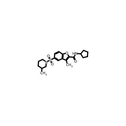 Cc1c(C(=O)NC2CCCC2)oc2ccc(S(=O)(=O)N3CCCC(C)C3)cc12